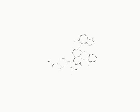 C=CC(=O)N1CCN(c2c(S(C)(=O)=O)c(=O)n(-c3c(C)ccnc3C(C)C)c3nc(-c4c(C)ccc5[nH]ncc45)c(F)cc23)C[C@H]1C